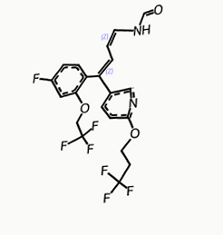 O=CN/C=C\C=C(\c1ccc(OCCC(F)(F)F)nc1)c1ccc(F)cc1OCC(F)(F)F